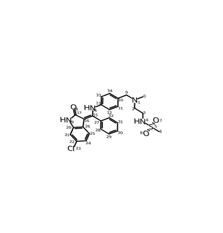 CN(CCNS(C)(=O)=O)Cc1ccc(N/C(=C2\C(=O)Nc3cc(Cl)ccc32)c2ccccc2)cc1